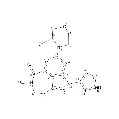 C[C@@H]1COCCN1c1cc2c3c(nn(-c4cc[nH]n4)c3n1)CCN(C)C2=O